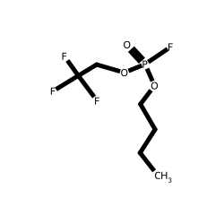 CCCCOP(=O)(F)OCC(F)(F)F